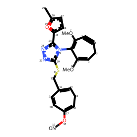 COC1=CCC#CC(OC)=C1n1c(SCC2=CCC=C(ON=O)C=C2)nnc1-c1ccc(C)o1